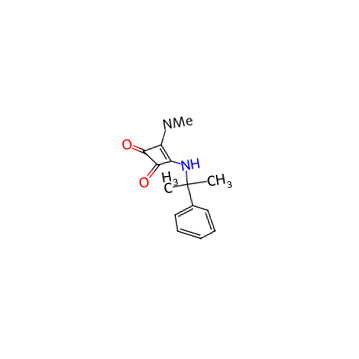 CNc1c(NC(C)(C)c2ccccc2)c(=O)c1=O